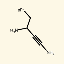 CCCCC(N)C#CN